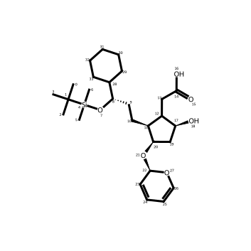 CC(C)(C)[Si](C)(C)O[C@@H](CC[C@H]1C(CC(=O)O)[C@@H](O)C[C@H]1O[C@@H]1C=CC=CO1)C1CCCCC1